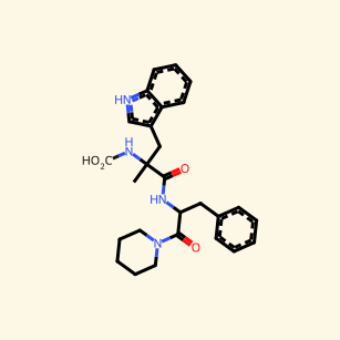 CC(Cc1c[nH]c2ccccc12)(NC(=O)O)C(=O)NC(Cc1ccccc1)C(=O)N1CCCCC1